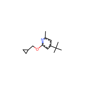 Cc1cc(C(C)(C)C)cc(OCC2CC2)n1